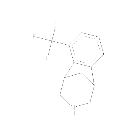 FC(F)(F)c1cccc2c1C1CNCC2C1